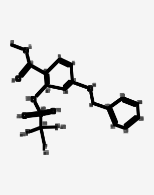 COC(=O)c1ccc(OCc2ccccc2)cc1OS(=O)(=O)C(F)(F)F